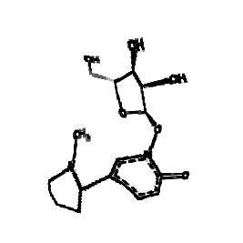 CN1CCCC1c1ccc(=O)n(O[C@H]2O[C@H](CO)[C@@H](O)[C@H]2O)c1